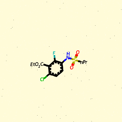 CCCS(=O)(=O)Nc1ccc(Cl)c(C(=O)OCC)c1F